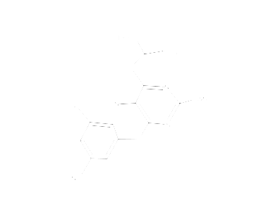 CSc1nc(Oc2cc(Br)cc(C#N)c2)c([N+](=O)[O-])c(OC(C)C(=O)O)n1